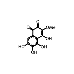 COC1=C(O)c2c(cc(O)c(O)c2O)C(=O)C1=O